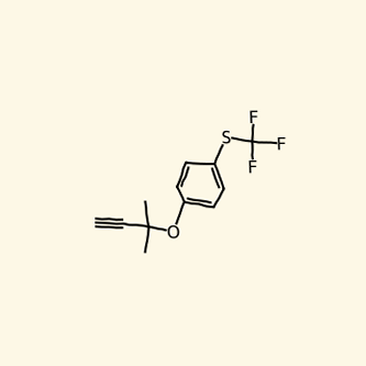 C#CC(C)(C)Oc1ccc(SC(F)(F)F)cc1